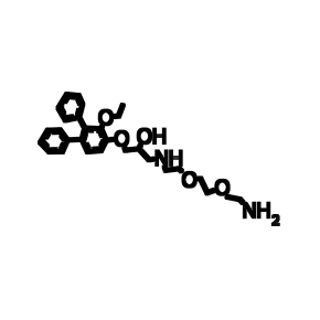 CCOc1c(OCC(O)CNCCOCCOCCN)ccc(-c2ccccc2)c1-c1ccccc1